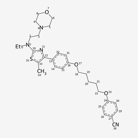 CCN(CCN1CCOCC1)c1nc(-c2ccc(OCCCCCOc3ccc(C#N)cc3)cc2)c(C)s1